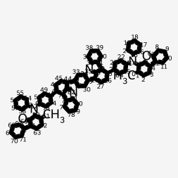 Cc1ccc2c(oc3ccccc32)c1N(c1ccccc1)c1ccc(-c2ccc3c4cc5c(cc4n4c6ccccc6c2c34)c2ccc(-c3ccc(N(c4ccccc4)c4c(C)ccc6c4oc4ccccc46)cc3)c3c4ccccc4n5c23)cc1